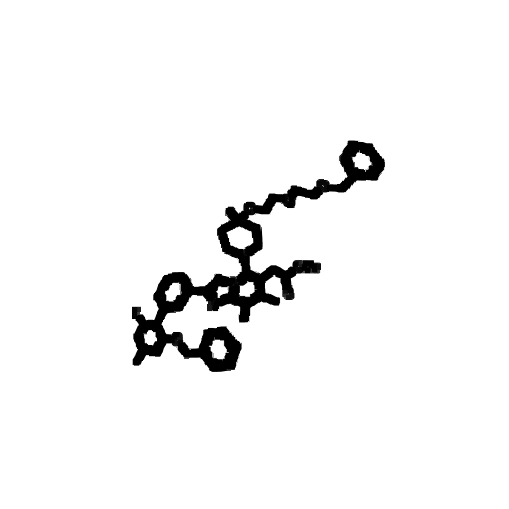 COC(=O)Cc1c(C)c(C)c2nc(-c3cccc(-c4c(F)cc(C)cc4OCc4ccccc4)c3)cn2c1N1CCC(C)(OCCOCCOCc2ccccc2)CC1